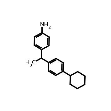 CC(c1ccc(N)cc1)c1ccc(C2CCCCC2)cc1